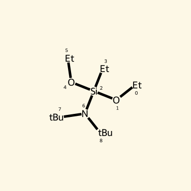 CCO[Si](CC)(OCC)N(C(C)(C)C)C(C)(C)C